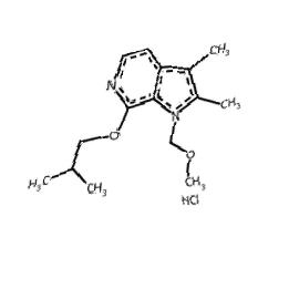 COCn1c(C)c(C)c2ccnc(OCC(C)C)c21.Cl